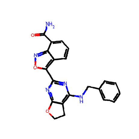 NC(=O)c1cccc2c(-c3nc(NCc4ccccc4)c4c(n3)OCC4)onc12